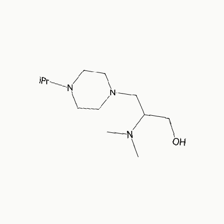 CC(C)N1CCN(CC(CO)N(C)C)CC1